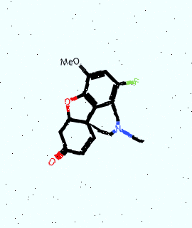 COc1cc(F)c2c3c1OC1CC(=O)C=C[C@@]31CCN(C)C2